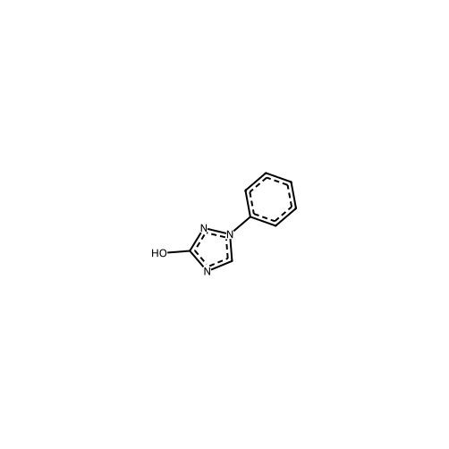 Oc1ncn(-c2ccccc2)n1